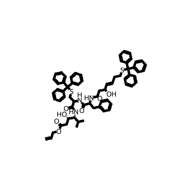 C=CCOC(=O)C[C@H](O)[C@H](NC(=O)C(CSC(c1ccccc1)(c1ccccc1)c1ccccc1)NC(=O)C(Cc1ccccc1)NC(=O)CC(O)C=CCCSC(c1ccccc1)(c1ccccc1)c1ccccc1)C(C)C